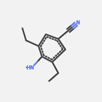 CCc1cc(C#N)cc(CC)c1[NH]